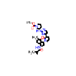 Cc1ccc2c(NC(=O)C3CC3C(F)(F)F)cccc2c1Oc1ncccc1-c1ccnc(N[C@H]2CCCN(C(=O)OC(C)(C)C)C2)n1